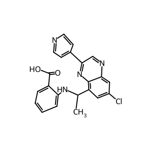 CC(Nc1ccccc1C(=O)O)c1cc(Cl)cc2ncc(-c3ccncc3)nc12